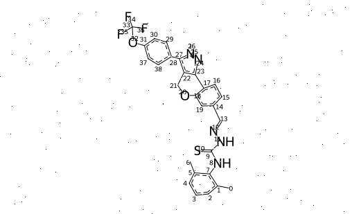 Cc1cccc(C)c1NC(=S)NN=Cc1ccc2c(c1)OCc1c-2nn(C)c1-c1ccc(OC(F)(F)F)cc1